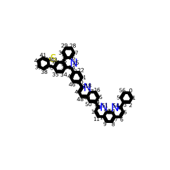 c1ccc(-c2ccc3ccc4ccc(-c5ccc6nc(-c7ccc(-c8nc9ccccc9c9c8ccc8c%10ccccc%10sc89)cc7)ccc6c5)nc4c3n2)cc1